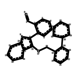 O=Cc1ccccc1-c1sc2ccccc2c1OCc1ccccc1-c1ccccc1